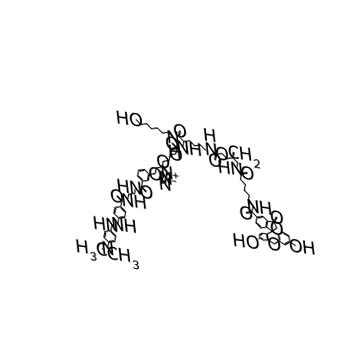 C=C(CNC(=O)CCCCCNC(=O)c1ccc2c(c1)C(=O)OC21c2ccc(O)cc2Oc2cc(O)ccc21)COC(=O)NCCCCC(NC(=O)OCCOC(COc1cccc(C(=O)NCCNC(=O)c2ccc(NNc3ccc(N(C)C)cc3)cc2)c1)N=[N+]=[N-])C(=O)NCCCCCCO